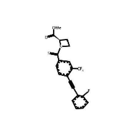 COC(=O)[C@H]1CCN1C(=S)c1ccc(C#Cc2ccccc2F)c(C(F)(F)F)c1